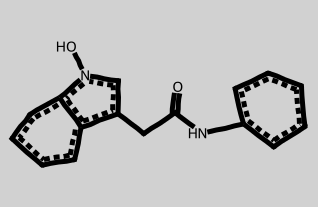 O=C(Cc1cn(O)c2ccccc12)Nc1ccccc1